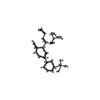 CC(C)N/C(=C\C=N)c1nn(-c2cccc(C(F)(F)F)c2)ccc1=O